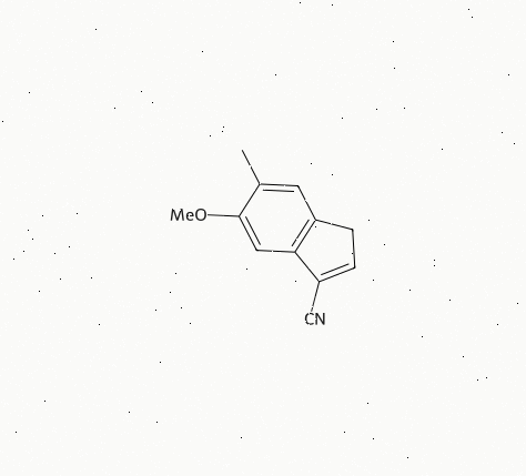 COc1cc2c(cc1C)CC=C2C#N